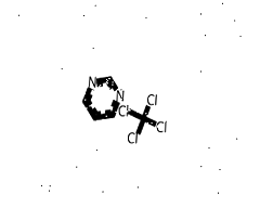 ClC(Cl)(Cl)Cl.c1cncnc1